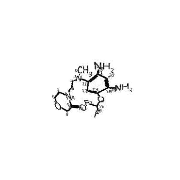 CN(CCN1CCOCC1=O)c1cc(OC(F)F)c(N)cc1N